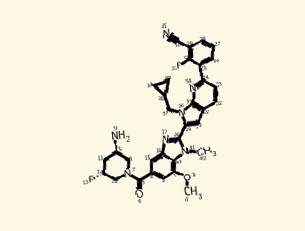 COc1cc(C(=O)N2C[C@H](N)C[C@@H](F)C2)cc2nc(-c3cc4ccc(-c5cccc(C#N)c5F)nc4n3CC3CC3)n(C)c12